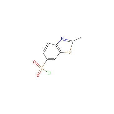 Cc1nc2ccc(S(=O)(=O)Cl)cc2s1